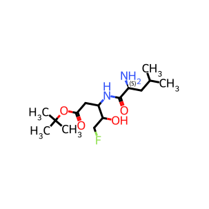 CC(C)C[C@H](N)C(=O)NC(CC(=O)OC(C)(C)C)C(O)CF